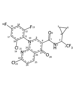 O=C(NC(C1CC1)C(F)(F)F)c1cn(-c2c(F)cc(F)cc2Cl)c2nc(Cl)ccc2c1=O